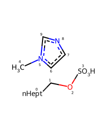 CCCCCCCCOS(=O)(=O)O.Cn1ccnc1